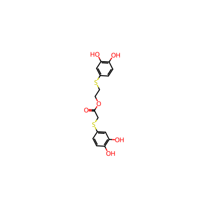 O=C(CSc1ccc(O)c(O)c1)OCCSc1ccc(O)c(O)c1